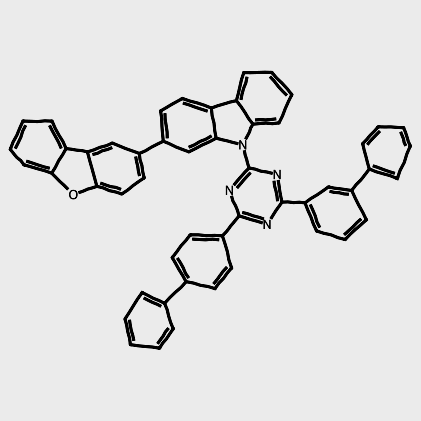 c1ccc(-c2ccc(-c3nc(-c4cccc(-c5ccccc5)c4)nc(-n4c5ccccc5c5ccc(-c6ccc7oc8ccccc8c7c6)cc54)n3)cc2)cc1